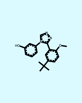 COc1ccc(C(C)(C)C)cc1-c1nncn1-c1cccc(O)c1